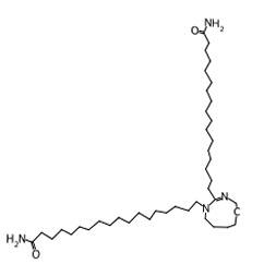 NC(=O)CCCCCCCCCCCCCCCCCN1CCCCCCN=C1CCCCCCCCCCCCCCCCC(N)=O